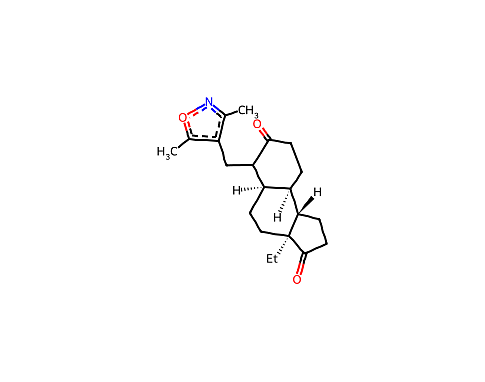 CC[C@]12CC[C@H]3C(Cc4c(C)noc4C)C(=O)CC[C@H]3[C@@H]1CCC2=O